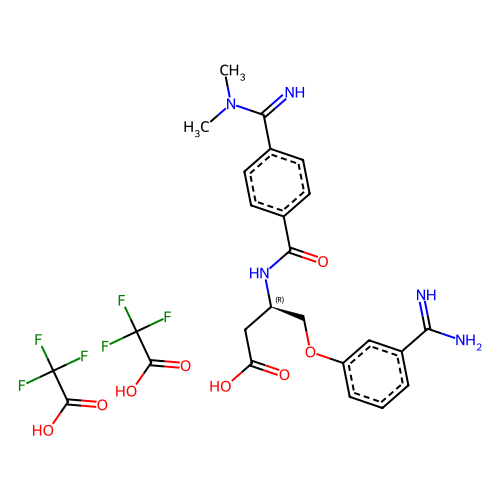 CN(C)C(=N)c1ccc(C(=O)N[C@@H](COc2cccc(C(=N)N)c2)CC(=O)O)cc1.O=C(O)C(F)(F)F.O=C(O)C(F)(F)F